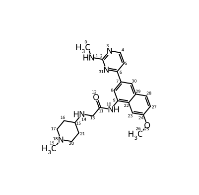 CNc1nccc(-c2cc(NC(=O)CNC3CCN(C)CC3)c3cc(OC)ccc3c2)n1